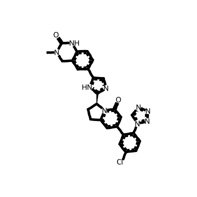 CN1Cc2cc(-c3cnc([C@@H]4CCc5cc(-c6cc(Cl)ccc6-n6cnnn6)cc(=O)n54)[nH]3)ccc2NC1=O